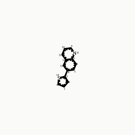 [c]1ccc(-c2ccc3ncccc3c2)s1